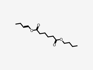 CCC=COC(=O)CCCCC(=O)OCCCC